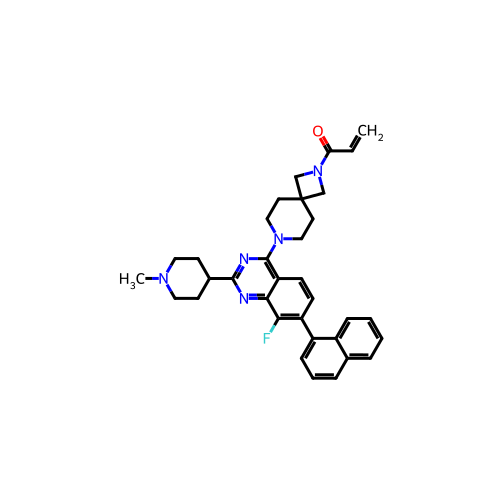 C=CC(=O)N1CC2(CCN(c3nc(C4CCN(C)CC4)nc4c(F)c(-c5cccc6ccccc56)ccc34)CC2)C1